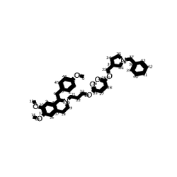 COc1ccc(CC2c3cc(OC)c(OC)cc3CCN2CCCOC(=O)/C=C\C(=O)OCC2CCN(Cc3ccccc3)C2)cc1